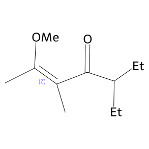 CCC(CC)C(=O)/C(C)=C(/C)OC